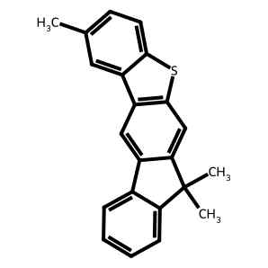 Cc1ccc2sc3cc4c(cc3c2c1)-c1ccccc1C4(C)C